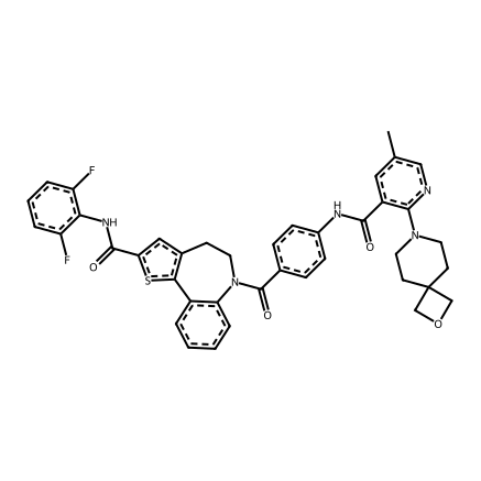 Cc1cnc(N2CCC3(CC2)COC3)c(C(=O)Nc2ccc(C(=O)N3CCc4cc(C(=O)Nc5c(F)cccc5F)sc4-c4ccccc43)cc2)c1